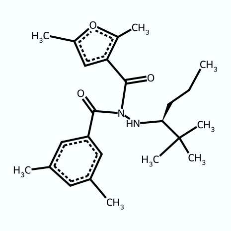 CCC[C@H](NN(C(=O)c1cc(C)cc(C)c1)C(=O)c1cc(C)oc1C)C(C)(C)C